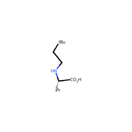 CC(C)[C@H](NCCC(C)(C)C)C(=O)O